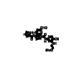 COCCNc1cc(NC(=O)N2c3nc(C=O)ccc3C3(NC(=O)c4ccc[nH]4)CC2C3)ncc1C#N